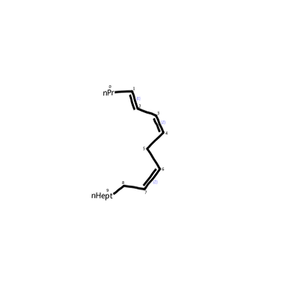 CCC/C=C/C=C\C/C=C\CCCCCCCC